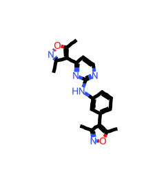 Cc1noc(C)c1-c1cccc(Nc2nccc(-c3c(C)noc3C)n2)c1